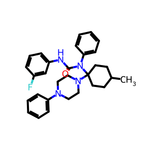 CC1CCC(N2CCN(c3ccccc3)CC2)(N(C(=O)Nc2cccc(F)c2)c2ccccc2)CC1